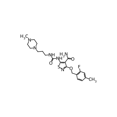 Cc1ccc(COc2nsc(NC(=O)NCCCN3CCN(C)CC3)c2C(N)=O)c(F)c1